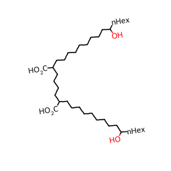 CCCCCCC(O)CCCCCCCCCC(CCCCC(CCCCCCCCCC(O)CCCCCC)C(=O)O)C(=O)O